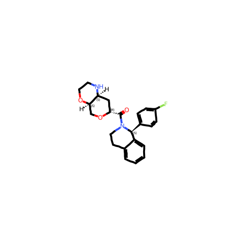 O=C([C@H]1C[C@@H]2NCCO[C@@H]2CO1)N1CCc2ccccc2[C@@H]1c1ccc(F)cc1